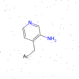 CC(=O)Cc1ccncc1N